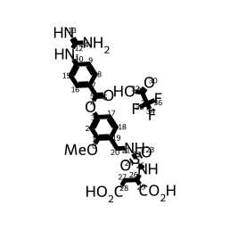 COc1cc(OC(=O)c2ccc(NC(=N)N)cc2)ccc1CNS(=O)(=O)NC(CC(=O)O)C(=O)O.O=C(O)C(F)(F)F